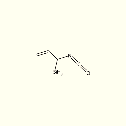 C=CC([SiH3])N=C=O